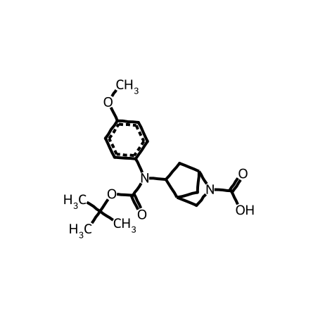 COc1ccc(N(C(=O)OC(C)(C)C)C2CC3CC2CN3C(=O)O)cc1